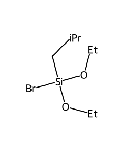 CCO[Si](Br)(CC(C)C)OCC